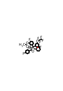 CC(C)Oc1cc([C@@](CC2C=CC=CC2)(NC(=O)c2ccc(F)cc2)c2cc(F)cc(OC(F)(F)C(F)F)c2)ccc1F